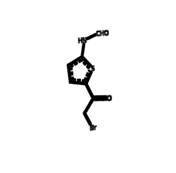 O=CNc1ccc(C(=O)CBr)s1